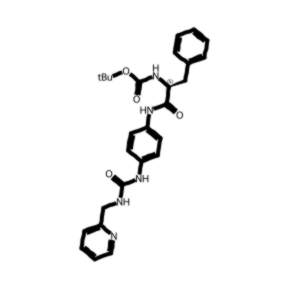 CC(C)(C)OC(=O)N[C@@H](Cc1ccccc1)C(=O)Nc1ccc(NC(=O)NCc2ccccn2)cc1